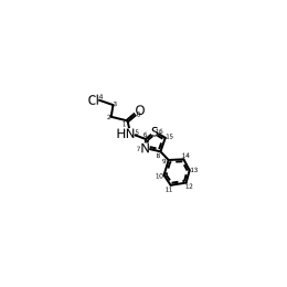 O=C(CCCl)Nc1nc(-c2ccccc2)cs1